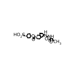 Cc1cc(NC(=O)Nc2ccc3c(c2)CCN(C(=O)O[C@H]2CC[C@H](CC(=O)O)CC2)C3)no1